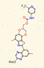 COc1cnc2c(-c3nc4c(C)cc5c(c4s3)OCC(COC(=O)Nc3ccnc(C(F)(F)F)c3)O5)cc(C)cc2n1